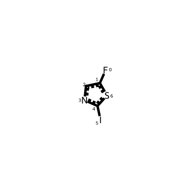 Fc1cnc(I)s1